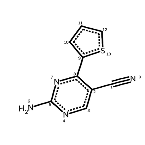 N#Cc1cnc(N)nc1-c1cccs1